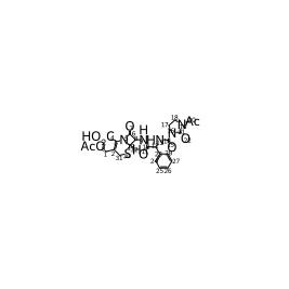 CC(=O)OCC1=C(C(=O)O)N2C(=O)C(NC(=O)C(NC(=O)N3CCN(C(C)=O)C3=O)c3ccccc3)[C@@H]2SC1